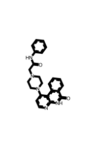 O=C(CN1CCN(c2ccnc3[nH]c(=O)c4ccccc4c23)CC1)Nc1ccccc1